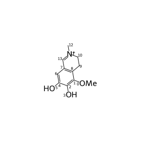 COc1c(O)c(O)cc2c1CC[N+](C)=C2